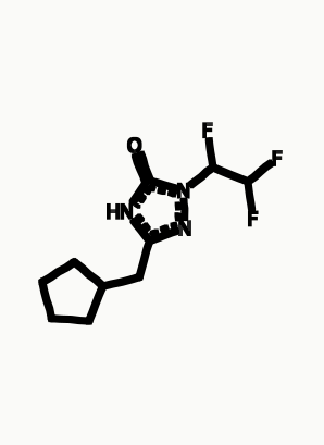 O=c1[nH]c(CC2CCCC2)nn1C(F)C(F)F